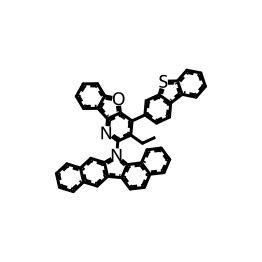 CCc1c(-n2c3cc4ccccc4cc3c3ccc4ccccc4c32)nc2c(oc3ccccc32)c1-c1ccc2c(c1)sc1ccccc12